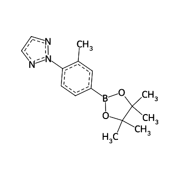 Cc1cc(B2OC(C)(C)C(C)(C)O2)ccc1-n1nccn1